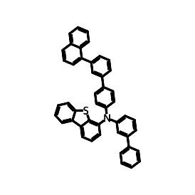 c1ccc(-c2cccc(N(c3ccc(-c4cccc(-c5cccc6ccccc56)c4)cc3)c3cccc4c3sc3ccccc34)c2)cc1